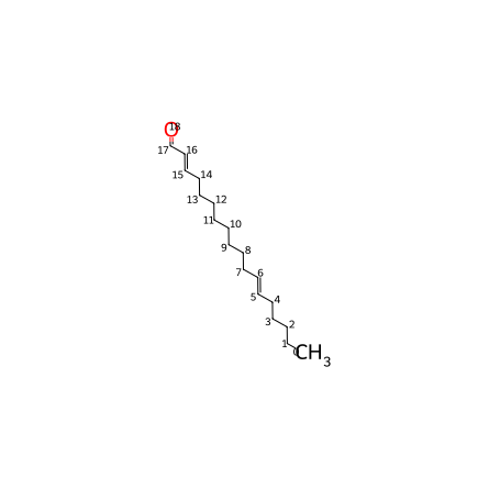 CCCCCC=CCCCCCCCCC=CC=O